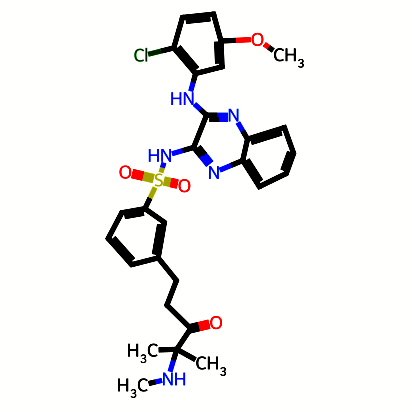 CNC(C)(C)C(=O)CCc1cccc(S(=O)(=O)Nc2nc3ccccc3nc2Nc2cc(OC)ccc2Cl)c1